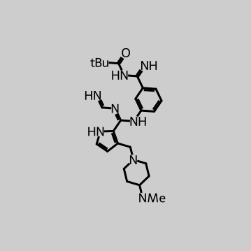 CNC1CCN(Cc2cc[nH]c2/C(=N\C=N)Nc2cccc(C(=N)NC(=O)C(C)(C)C)c2)CC1